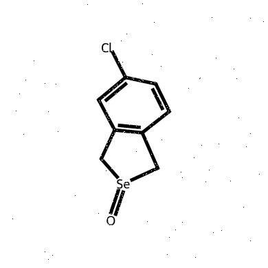 O=[Se]1Cc2ccc(Cl)cc2C1